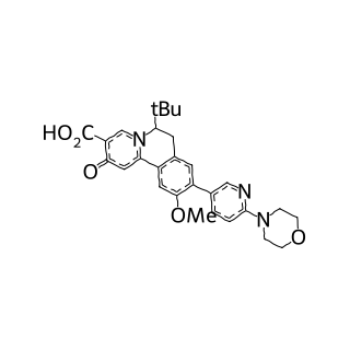 COc1cc2c(cc1-c1ccc(N3CCOCC3)nc1)CC(C(C)(C)C)n1cc(C(=O)O)c(=O)cc1-2